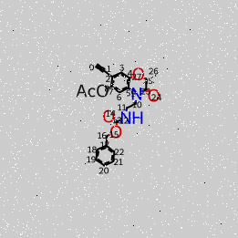 C#Cc1cc2c(cc1OC(C)=O)N(CCNC(=O)OCc1ccccc1)C(=O)[C@@H](C)O2